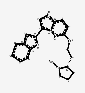 CC(=O)N1CCC[C@H]1CCOc1ccc2ncc(-c3cc4ccccc4o3)n2n1